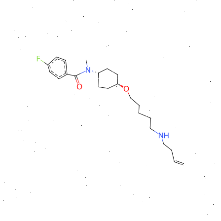 C=CCCNCCCCCO[C@H]1CC[C@H](N(C)C(=O)c2ccc(F)cc2)CC1